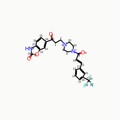 O=C(CCN1CCN(C(=O)C=Cc2cccc(C(F)(F)F)c2)CC1)c1ccc2[nH]c(=O)oc2c1